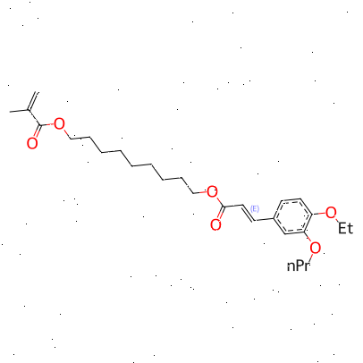 C=C(C)C(=O)OCCCCCCCCCOC(=O)/C=C/c1ccc(OCC)c(OCCC)c1